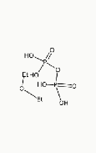 CCOCC.O=P(O)(O)OP(=O)(O)O